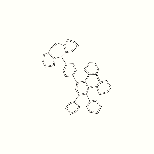 C1=Cc2ccccc2N(c2ccc(-c3cc(-c4ccccc4)c(-c4ccccc4)c4c5ccccc5c5ccccc5c34)cc2)c2ccccc21